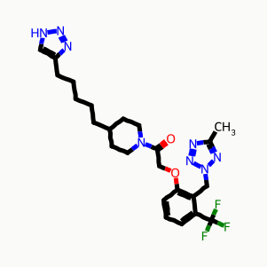 Cc1nnn(Cc2c(OCC(=O)N3CCC(CCCCCc4c[nH]nn4)CC3)cccc2C(F)(F)F)n1